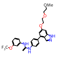 C=C(Nc1ccc(-c2cc(OCCOCCOC)cc3[nH]ncc23)cc1)Nc1cccc(OC(F)(F)F)c1